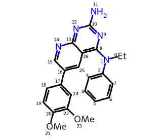 CCN(c1ccccc1)c1nc(N)nc2ncc(-c3ccc(OC)c(OC)c3)cc12